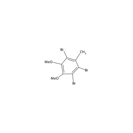 COc1c(Br)c(C)c(Br)c(Br)c1OC